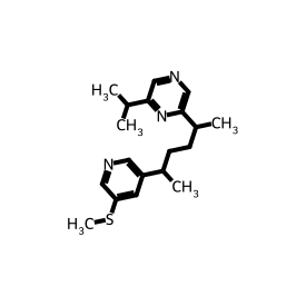 CSc1cncc(C(C)CCC(C)c2cncc(C(C)C)n2)c1